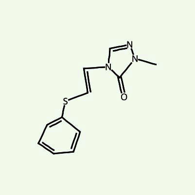 Cn1ncn(/C=C/Sc2ccccc2)c1=O